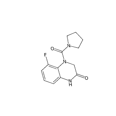 O=C1CN(C(=O)N2CCCC2)c2c(F)cccc2N1